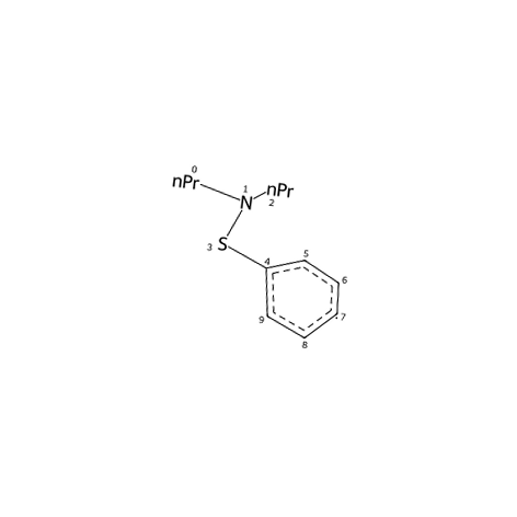 CCCN(CCC)Sc1cc[c]cc1